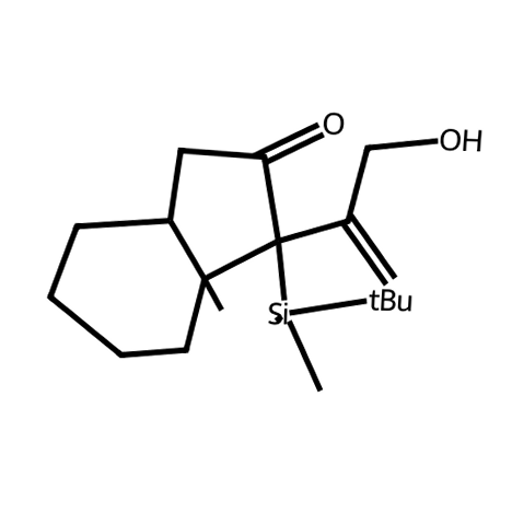 C=C(CO)C1([Si](C)(C)C(C)(C)C)C(=O)CC2CCCCC21C